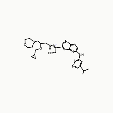 CC(C)c1cnnc(Nc2ccc3ncc(/C(C=N)=C/NCC(CN4CCOCC4)OCC4CC4)cc3n2)c1